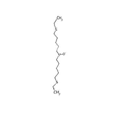 CCSCCCCC[S+]([O-])CCCCCSCC